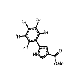 [2H]c1c([2H])c([2H])c(-c2cc(C(=O)OC)c[nH]2)c([2H])c1[2H]